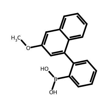 COc1cc(-c2ccccc2B(O)O)c2ccccc2c1